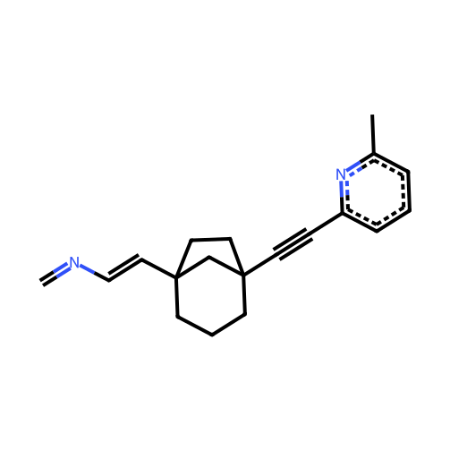 C=N/C=C/C12CCCC(C#Cc3cccc(C)n3)(CC1)C2